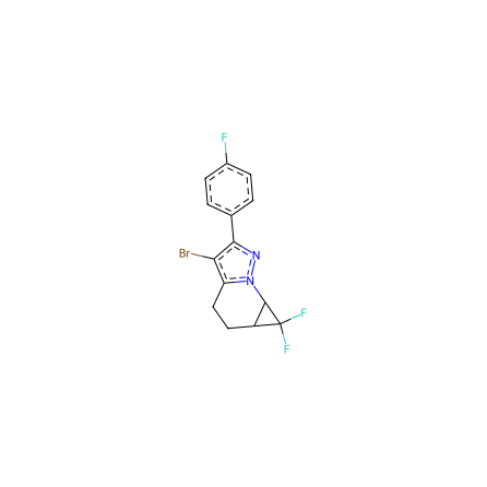 Fc1ccc(-c2nn3c(c2Br)CCC2C3C2(F)F)cc1